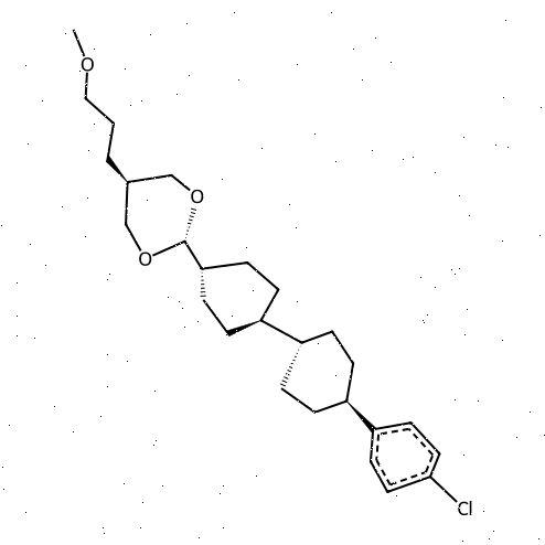 COCCC[C@H]1CO[C@H]([C@H]2CC[C@H]([C@H]3CC[C@H](c4ccc(Cl)cc4)CC3)CC2)OC1